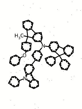 CC1(c2ccc(Oc3ccccc3)cc2)c2ccccc2-c2ccc(N(c3ccc(-c4ccc5c(c4)c4ccccc4n5-c4ccccc4)cc3)c3ccc4c(c3)C(c3ccccc3)(c3ccccc3)c3ccccc3-4)cc21